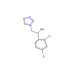 O=NC(Cn1ccnc1)c1ccc(Cl)cc1Cl